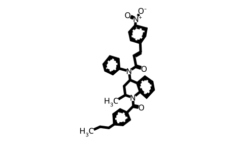 CCCc1ccc(C(=O)N2c3ccccc3C(N(C(=O)C=Cc3ccc([N+](=O)[O-])cc3)c3ccccc3)CC2C)cc1